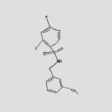 Cc1cccc(CNS(=O)(=O)c2ccc(F)cc2F)c1